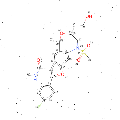 CNC(=O)c1c(-c2ccc(F)cc2)oc2cc3c(cc12)[C@H](C)O[C@H](CCO)CN3S(C)(=O)=O